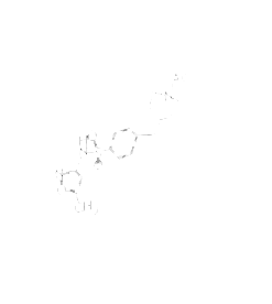 CC(=O)N1CCC(Cc2ccc(S(=O)(=O)Nc3cc(C)on3)cc2)CC1